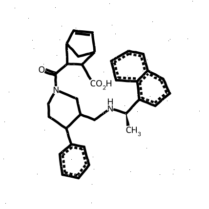 C[C@@H](NCC1CN(C(=O)C2C3C=CC(C3)C2C(=O)O)CCC1c1ccccc1)c1cccc2ccccc12